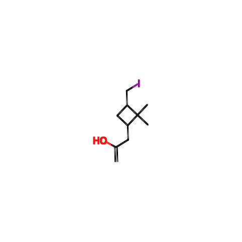 C=C(O)CC1CC(CI)C1(C)C